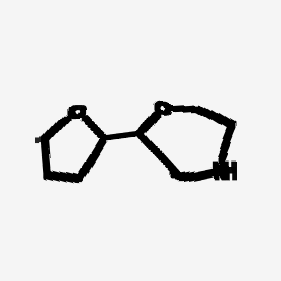 [CH]1CCC(C2[CH]NCCO2)O1